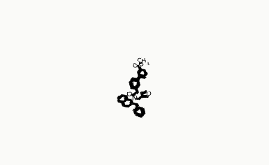 COC(=O)c1cccc(-c2cccc(CC(=O)N(Cc3ccoc3)C3c4ccccc4CCC3Cc3ccccc3)c2)c1